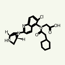 O=C(O)CN(C(=O)CC1CCCCC1)c1c(Cl)ccc2nc(N3C[C@@H]4C[C@H]3CN4)ccc12